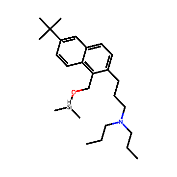 CCCN(CCC)CCCc1ccc2cc(C(C)(C)C)ccc2c1CO[SiH](C)C